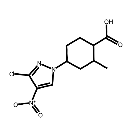 CC1CC(n2cc([N+](=O)[O-])c(Cl)n2)CCC1C(=O)O